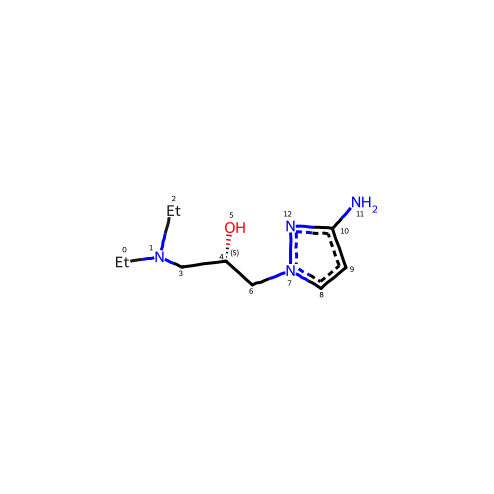 CCN(CC)C[C@H](O)Cn1ccc(N)n1